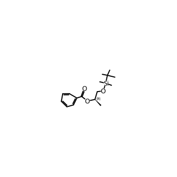 C[C@H](CO[Si](C)(C)C(C)(C)C)OC(=O)c1ccccc1